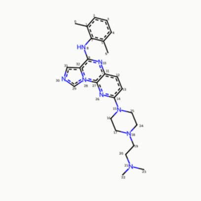 Cc1cccc(C)c1Nc1nc2ccc(N3CCN(CCN(C)C)CC3)nc2n2cncc12